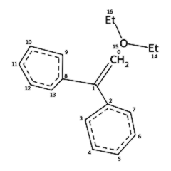 C=C(c1ccccc1)c1ccccc1.CCOCC